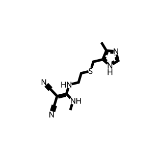 CNC(NCCSCc1[nH]cnc1C)=C(C#N)C#N